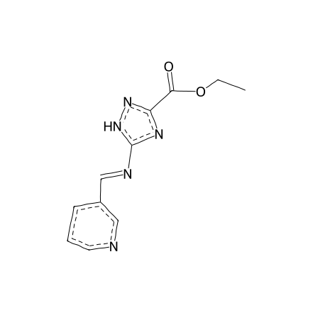 CCOC(=O)c1n[nH]c(/N=C/c2cccnc2)n1